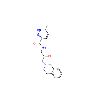 CC1C=CC(C(=O)NC[C@@H](O)CN2CCc3ccccc3C2)=NN1